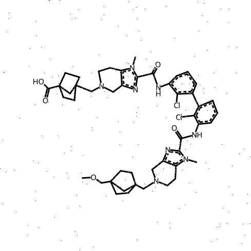 COCC12CCC(CN3CCc4c(nc(C(=O)Nc5cccc(-c6cccc(NC(=O)c7nc8c(n7C)CCN(CC79CCC(C(=O)O)(CC7)C9)C8)c6Cl)c5Cl)n4C)C3)(CC1)C2